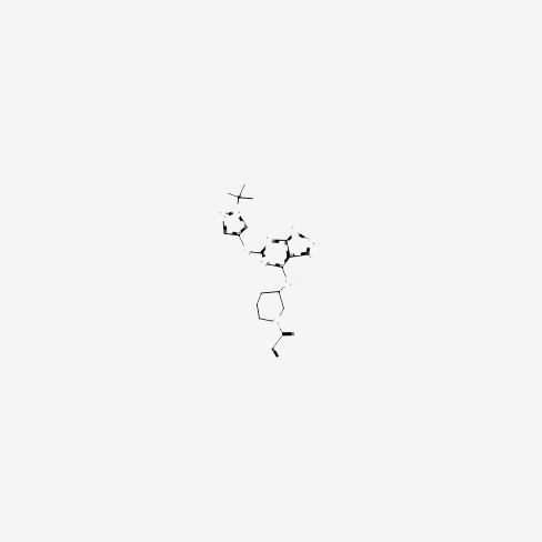 C=CC(=O)N1CCCC(Nc2nc(Nc3cnn(C(C)(C)C)c3)nc3[nH]nc(Cl)c23)C1